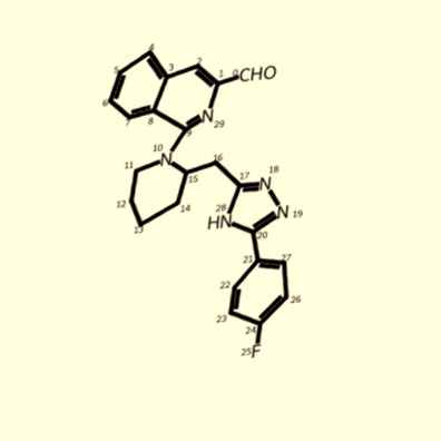 O=Cc1cc2ccccc2c(N2CCCCC2Cc2nnc(-c3ccc(F)cc3)[nH]2)n1